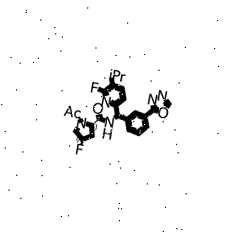 CC(=O)N1C[C@H](F)C[C@H]1C(=O)NC(c1cccc(-c2nnco2)c1)c1ccc(C(C)C)c(F)n1